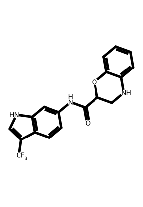 O=C(Nc1ccc2c(C(F)(F)F)c[nH]c2c1)C1CNc2ccccc2O1